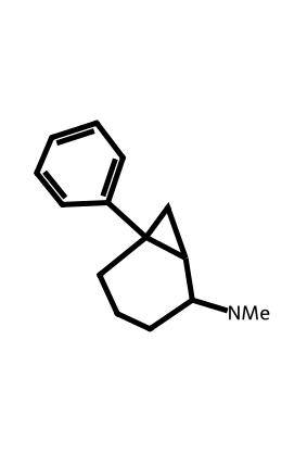 CNC1CCCC2(c3ccccc3)CC12